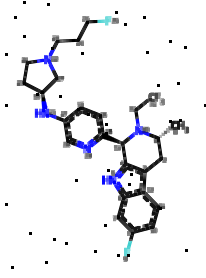 C[C@@H]1Cc2c([nH]c3cc(F)ccc23)[C@@H](c2ccc(N[C@H]3CCN(CCCF)C3)cn2)N1CC(F)(F)F